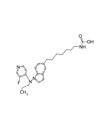 CCCN(c1ccncc1F)n1ccc2cc(CCCCCCCNC(=O)O)ccc21